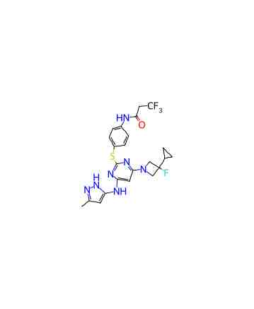 Cc1cc(Nc2cc(N3CC(F)(C4CC4)C3)nc(Sc3ccc(NC(=O)CC(F)(F)F)cc3)n2)[nH]n1